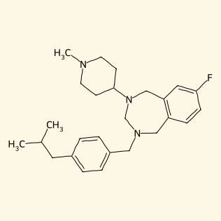 CC(C)Cc1ccc(CN2Cc3ccc(F)cc3CN(C3CCN(C)CC3)C2)cc1